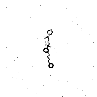 O=C(CNCC(F)(F)c1cccc(OCCCc2ccccc2)c1)N1CCOCC1